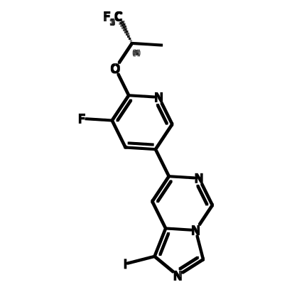 C[C@H](Oc1ncc(-c2cc3c(I)ncn3cn2)cc1F)C(F)(F)F